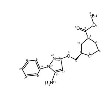 CC(C)(C)OC(=O)N1CCO[C@@H](COc2cc(N)n(-c3ccccc3)n2)C1